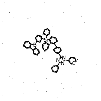 c1ccc(-c2nc(-c3ccccc3)nc(-c3ccc(-c4cccc([Si](c5ccccc5)(c5ccccc5)c5cccc(B6c7ccccc7-c7ccccc76)c5)c4)cc3)n2)cc1